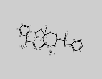 CN(C(=O)[C@@H]1CC[C@@H]2CCN(C(=O)Cc3ccccc3)C[C@H](N)C(=O)N21)c1ccccc1